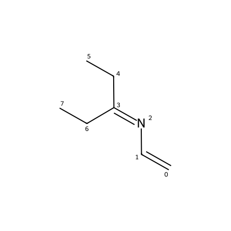 C=CN=C(CC)CC